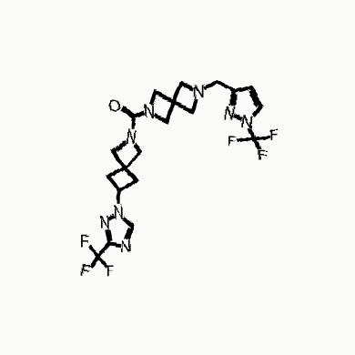 O=C(N1CC2(CC(n3cnc(C(F)(F)F)n3)C2)C1)N1CC2(CN(Cc3ccn(C(F)(F)F)n3)C2)C1